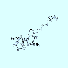 CCCCCCCCC(F)CCC(CC(=O)O)n1cc(O)c2ccccc21